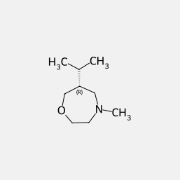 CC(C)[C@H]1COCCN(C)C1